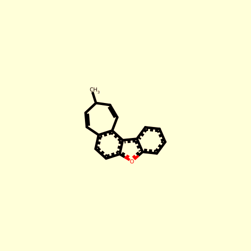 CC1C=Cc2ccc3oc4ccccc4c3c2C=C1